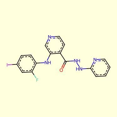 O=C(NNc1ccccn1)c1ccncc1Nc1ccc(I)cc1F